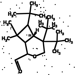 CC(C)(C)C1[C@H]2C(C(C=O)OCC2(C(C)(C)C)C(C)(C)C)C1(C)C